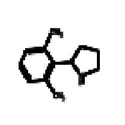 Cc1cccc(C)c1C1CCCN1